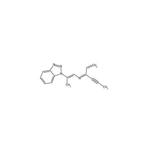 C=C/C(C#CC)=N\C=C(/C)n1nnc2ccccc21